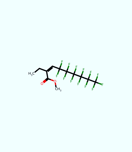 CCC(=CC(F)(F)C(F)(F)C(F)(F)C(F)(F)C(F)(F)C(F)(F)F)C(=O)OC